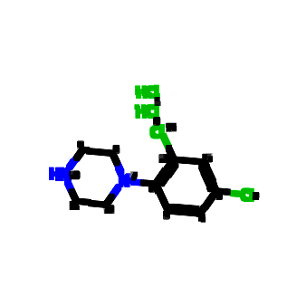 Cl.Cl.Clc1ccc(N2CCNCC2)c(Cl)c1